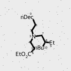 CCCCCCCCCCCCN(CCC(=O)OCC)CC(CC)CCCC